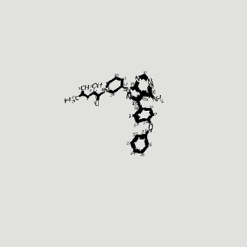 CC(C)C[C@H](O)C(=O)N1CCC[C@@H](n2nc(-c3ccc(Oc4ccccc4)cc3)c3c(N)ncnc32)C1